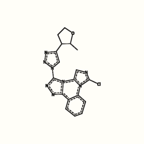 CC1OCCC1c1cn(-c2nnc3c4ccccc4n4c(Cl)ncc4n23)nn1